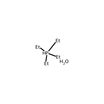 CC[PH](CC)(CC)CC.O